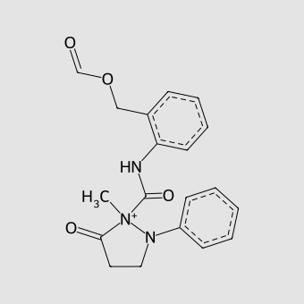 C[N+]1(C(=O)Nc2ccccc2COC=O)C(=O)CCN1c1ccccc1